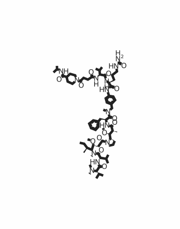 CC[C@H](C)[C@@H]([C@@H](CC(=O)N1CCC[C@H]1[C@H](OC)[C@@H](C)C(=O)N[C@@H](Cc1ccccc1)C(=O)N(C)Cc1ccc(NC(=O)[C@H](CCCNC(N)=O)NC(=O)[C@@H](NC(=O)CCC(=O)N2CCC(C(=O)NC(C)C)CC2)C(C)C)cc1)OC)N(C)C(=O)[C@@H](NC(=O)[C@H](C(C)C)N(C)C)C(C)C